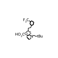 CC(CCc1cccc(C(F)(F)F)c1)SC1=C(OC(=O)O)C=CCN1CCC(C)(C)C